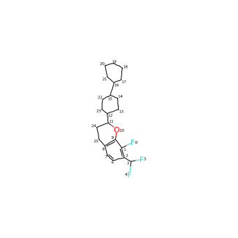 Fc1c(C(F)F)ccc2c1OC(C1CCC(C3CCCCC3)CC1)CC2